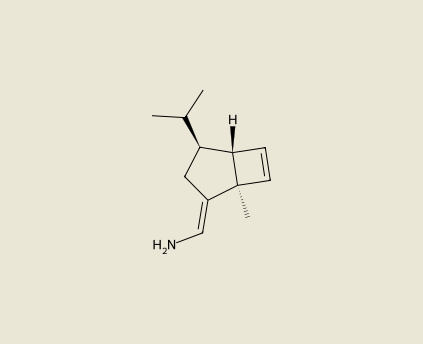 CC(C)[C@@H]1C/C(=C\N)[C@]2(C)C=C[C@@H]12